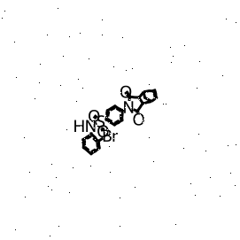 O=C1C2C3C=CC(C3)C2C(=O)N1c1ccc(S(=O)(=O)Nc2ccccc2Br)cc1